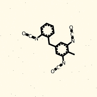 Cc1c(N=C=O)cc(Cc2ccccc2N=C=O)cc1N=C=O